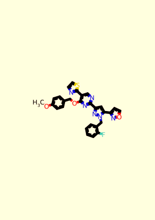 COc1ccc(COc2nc(-c3cc(-c4ccon4)n(Cc4ccccc4F)n3)ncc2-c2nccs2)cc1